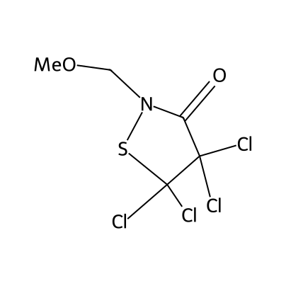 COCN1SC(Cl)(Cl)C(Cl)(Cl)C1=O